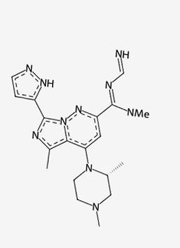 CN/C(=N\C=N)c1cc(N2CCN(C)C[C@H]2C)c2c(C)nc(-c3ccn[nH]3)n2n1